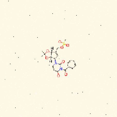 CC1(C)O[C@@H]2[C@H](O1)C(COS(C)(=O)=O)=C[C@H]2n1ccc(=O)n(C(=O)c2ccccc2)c1=O